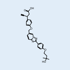 C#CC(CC(=O)O)c1ccc(OCc2ccc3nc(-c4ccc(OCCC(C)(C)O)cc4)nn3c2)cc1